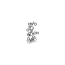 CC(=O)Nc1ccn([C@@H]2O[C@@H]3CO[Si](C(C)C)(C(C)C)O[Si](C(C)C)(C(C)C)OC3[C@@H]2O)c(=O)n1